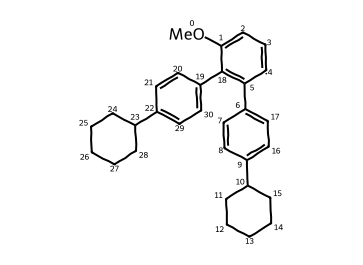 COc1cc[c]c(-c2ccc(C3CCCCC3)cc2)c1-c1ccc(C2CCCCC2)cc1